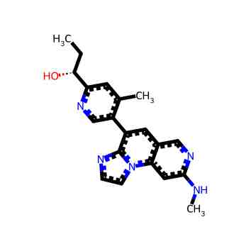 CC[C@@H](O)c1cc(C)c(-c2cc3cnc(NC)cc3n3ccnc23)cn1